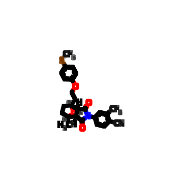 C[C@@]12CC[C@@](CCOc3ccc(SC(F)(F)F)cc3)(O1)[C@H]1C(=O)N(c3ccc(C#N)c(C(F)(F)F)c3)C(=O)[C@H]12